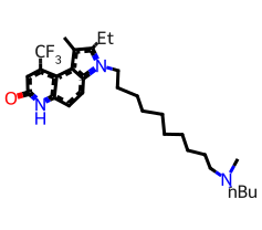 CCCCN(C)CCCCCCCCCCn1c(CC)c(C)c2c3c(C(F)(F)F)cc(=O)[nH]c3ccc21